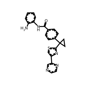 Nc1ccccc1NC(=O)c1ccc(C2(c3nc(-c4cnccn4)cs3)CC2)cc1